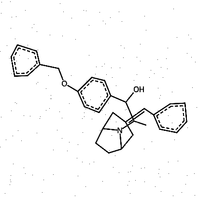 CC(C(O)c1ccc(OCc2ccccc2)cc1)N1C2CCC1CC(=Cc1ccccc1)C2